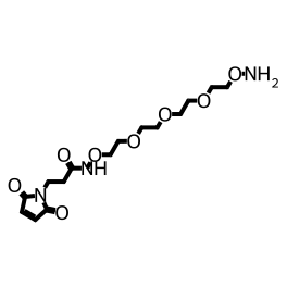 NOCCOCCOCCOCCONC(=O)CCN1C(=O)C=CC1=O